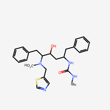 CC(C)(C)NC(=O)NC(Cc1ccccc1)CC(O)C(Cc1ccccc1)N(Cc1cncs1)C(=O)O